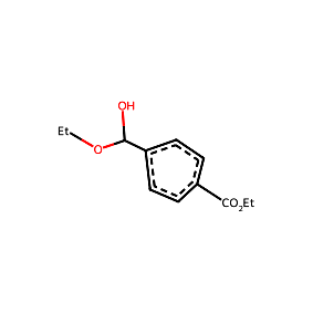 CCOC(=O)c1ccc(C(O)OCC)cc1